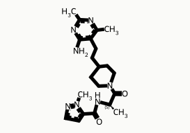 Cc1nc(C)c(CCC2CCN(C(=O)[C@H](C)NC(=O)c3ccnn3C)CC2)c(N)n1